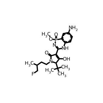 COP1(=O)N=C(C2=C(O)C(C(C)(C)C)N(CCC(C)CF)C2=O)Nc2ccc(N)cc21